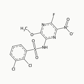 COc1nc(F)c([N+](=O)[O-])nc1NS(=O)(=O)c1cccc(Cl)c1Cl